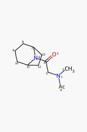 CC(=O)N(C)CC(=O)N1C2CCCC1CC2